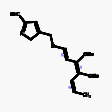 C\C=C/C(OC)=C(\C=C\OCC1=CC(C=O)=NC1)OC